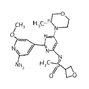 COc1cc(-c2nc(N=S(C)(=O)C3COC3)cc(N3CCOC[C@H]3C)n2)cc(N)n1